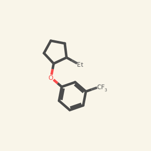 CCC1CCCC1Oc1cccc(C(F)(F)F)c1